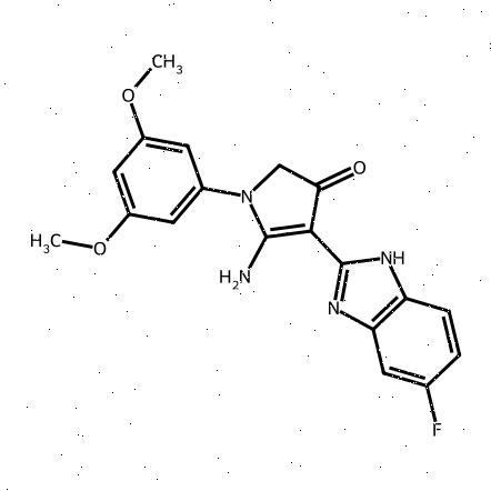 COc1cc(OC)cc(N2CC(=O)C(c3nc4cc(F)ccc4[nH]3)=C2N)c1